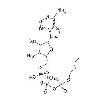 CCCCOP(=O)(O)OP(=O)(O)OP(=O)(O)OCC1OC(n2cnc3c(N)ncnc32)C(O)C1O